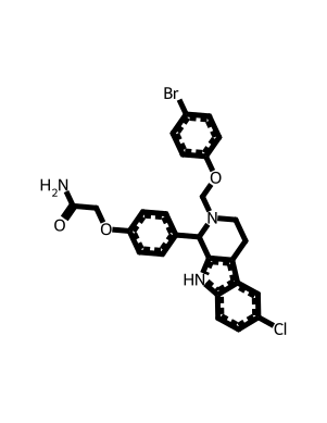 NC(=O)COc1ccc(C2c3[nH]c4ccc(Cl)cc4c3CCN2COc2ccc(Br)cc2)cc1